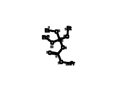 CCCOC(=O)O[Si](OCC)(OCC)OCC